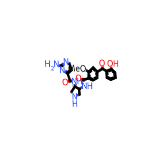 COc1cc(C(=O)c2ccccc2O)ccc1C(=O)NC1CNC[C@H]1NC(=O)c1ccnc(N)n1